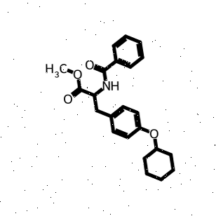 COC(=O)C(Cc1ccc(OC2CCCCC2)cc1)NC(=O)c1ccccc1